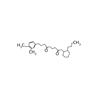 CCCCC1CCCCC1CC(=O)CCCC(=O)CCCc1ccc(CC)c(C)c1